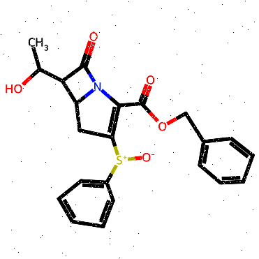 CC(O)C1C(=O)N2C(C(=O)OCc3ccccc3)=C([S+]([O-])c3ccccc3)CC12